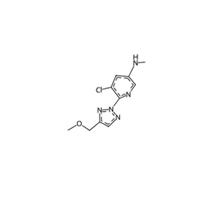 CNc1cnc(-n2ncc(COC)n2)c(Cl)c1